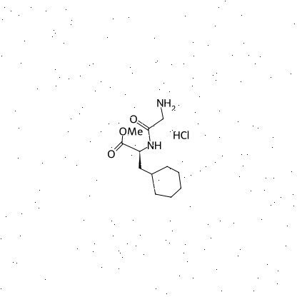 COC(=O)[C@H](CC1CCCCC1)NC(=O)CN.Cl